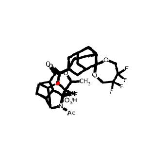 CC(=O)N1C(=O)C2C3CC(C(OC(=O)C45CC6CC(C4)C4(OCC(F)(F)C(F)(F)CO4)C(C6)C5)C31)C2C(=O)OC(C)C(F)(F)S(=O)(=O)O